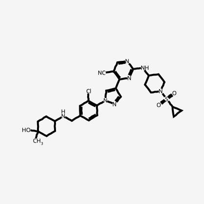 CC1(O)CCC(NCc2ccc(-n3cc(-c4nc(NC5CCN(S(=O)(=O)C6CC6)CC5)ncc4C#N)cn3)c(Cl)c2)CC1